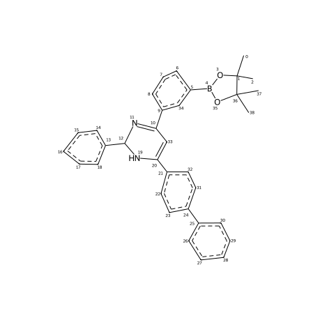 CC1(C)OB(c2cccc(C3=NC(c4ccccc4)NC(c4ccc(-c5ccccc5)cc4)=C3)c2)OC1(C)C